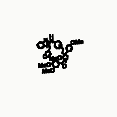 COc1ccc(C2(CCN3CCC(Nc4nc5ccccc5n4Cc4ccoc4)CC3)CCN(C(=O)c3cc(OC)c(OC)c(OC)c3)C2)cc1